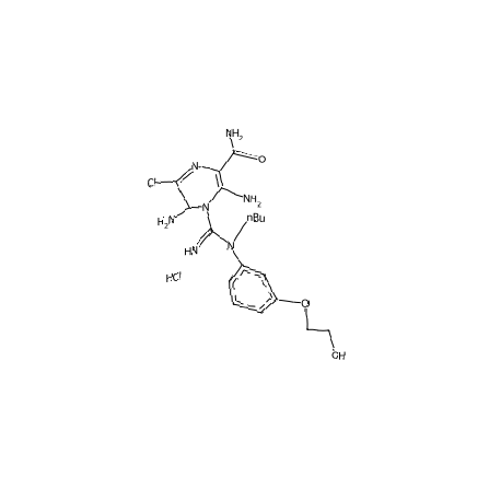 CCCCN(C(=N)N1C(N)=C(C(N)=O)N=C(Cl)C1N)c1cccc(OCCO)c1.Cl